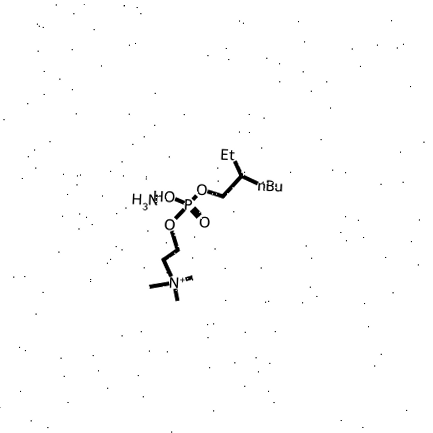 CCCCC(CC)COP(=O)(O)OCC[N+](C)(C)C.N